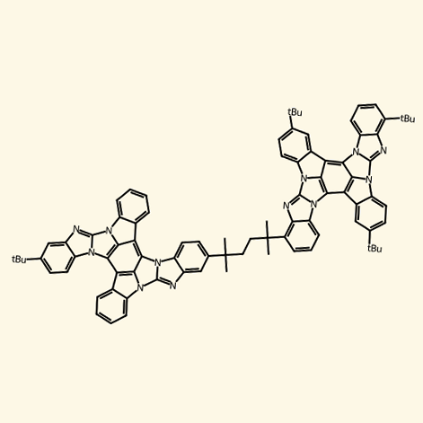 CC(C)(C)c1ccc2c(c1)nc1n2c2c3c4ccccc4n4c3c(c3c5ccccc5n1c32)n1c2ccc(C(C)(C)CCC(C)(C)c3cccc5c3nc3n5c5c6c7cc(C(C)(C)C)ccc7n7c6c(c6c8cc(C(C)(C)C)ccc8n3c65)n3c5cccc(C(C)(C)C)c5nc37)cc2nc14